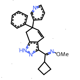 CON=C(c1n[nH]c2c1C=CC(c1ccccc1)(c1cccnc1)C2)C1CCC1